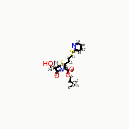 C[Si](C)(C)CCOC(=O)C1=C(CCCSc2ccccn2)S[C@@H]2[C@@H](CO)C(=O)N12